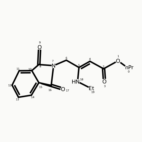 CCCOC(=O)/C=C(/CN1C(=O)c2ccccc2C1=O)NCC